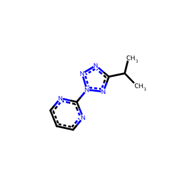 CC(C)c1nnn(-c2ncccn2)n1